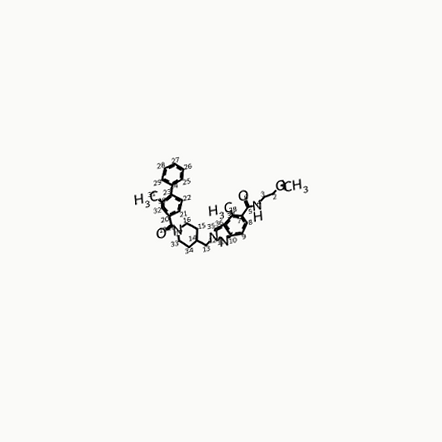 COCCNC(=O)c1ccc2nn(CC3CCN(C(=O)c4ccc(-c5ccccc5)c(C)c4)CC3)cc2c1C